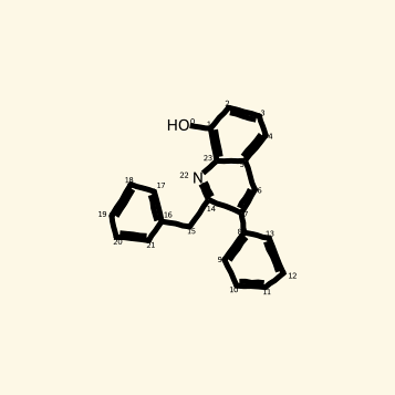 Oc1cccc2cc(-c3ccccc3)c(Cc3ccccc3)nc12